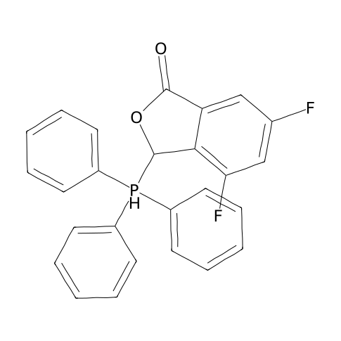 O=C1OC([PH](c2ccccc2)(c2ccccc2)c2ccccc2)c2c(F)cc(F)cc21